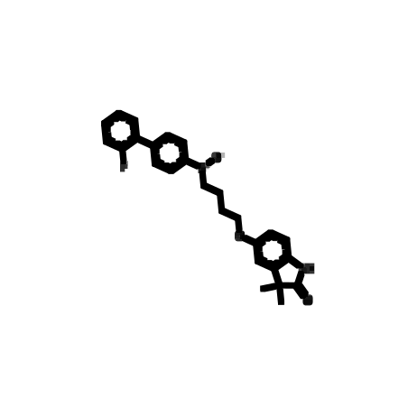 CC1(C)C(=O)Nc2ccc(OCCCC[S+]([O-])c3ccc(-c4ccccc4F)cc3)cc21